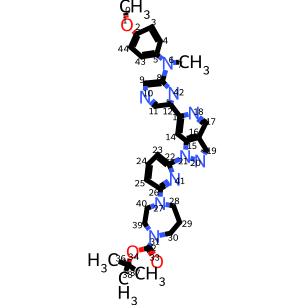 COc1ccc(N(C)c2cncc(-c3cc4c(cn3)cnn4-c3cccc(N4CCCN(C(=O)OC(C)(C)C)CC4)n3)n2)cc1